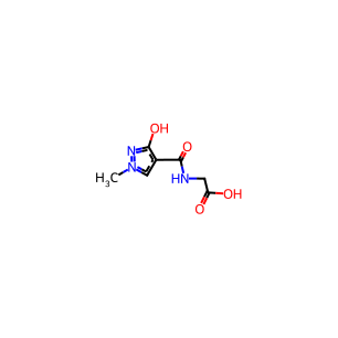 Cn1cc(C(=O)NCC(=O)O)c(O)n1